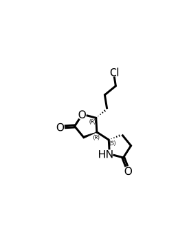 O=C1CC[C@@H]([C@H]2CC(=O)O[C@@H]2CCCCl)N1